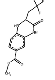 COC(=O)c1ccc2c(c1)NC(=O)C(CC(F)(F)F)N2